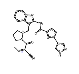 C/C=C(/C#N)C(=O)N1CCC[C@H]1Cn1c(NC(=O)c2ccc(-c3cn[nH]c3)s2)nc2ccccc21